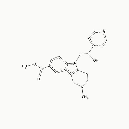 COC(=O)c1ccc2c(c1)c1c(n2CC(O)c2ccncc2)CCN(C)C1